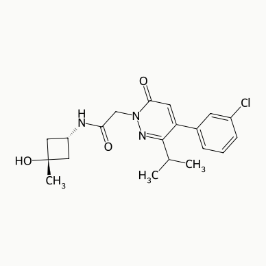 CC(C)c1nn(CC(=O)N[C@H]2C[C@@](C)(O)C2)c(=O)cc1-c1cccc(Cl)c1